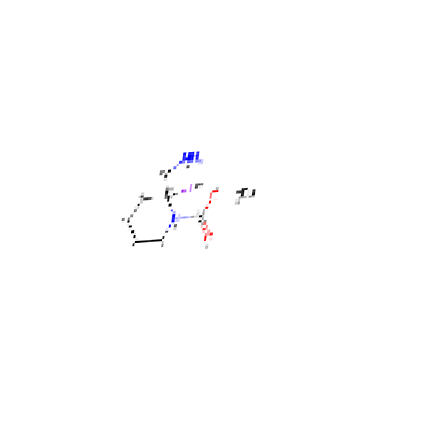 CC(C)(C)OC(=O)N1CCCCC1(I)CN